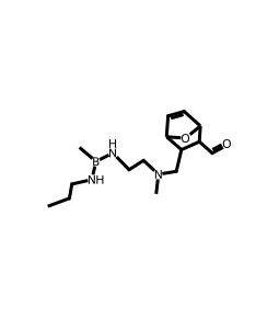 CCCNB(C)NCCN(C)CC1C2C=CC(O2)C1C=O